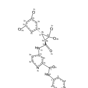 O=C(Nc1ccc(F)cc1)c1cc(NC(=O)[C@H]2[C@H](c3cc(Cl)cc(Cl)c3)C2(Cl)Cl)ccn1